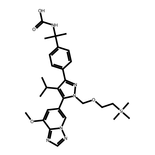 COc1cc(-c2c(C(C)C)c(-c3ccc(C(C)(C)NC(=O)O)cc3)nn2COCC[Si](C)(C)C)cn2ncnc12